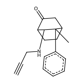 C#CCNC1C2CCC(CC2=O)C1(C)c1ccccc1